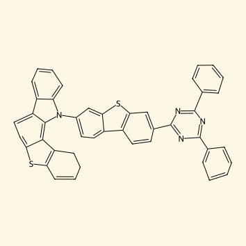 C1=Cc2sc3ccc4c5ccccc5n(-c5ccc6c(c5)sc5cc(-c7nc(-c8ccccc8)nc(-c8ccccc8)n7)ccc56)c4c3c2CC1